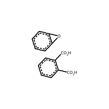 O=C(O)c1ccccc1C(=O)O.c1ccc2c(c1)O2